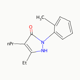 CCCc1c(CC)[nH]n(-c2ccccc2C)c1=O